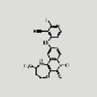 C[C@@H]1CCOc2c(c3cc(Nc4ccnc(Cl)c4C#N)ccc3n(C)c2=O)N1